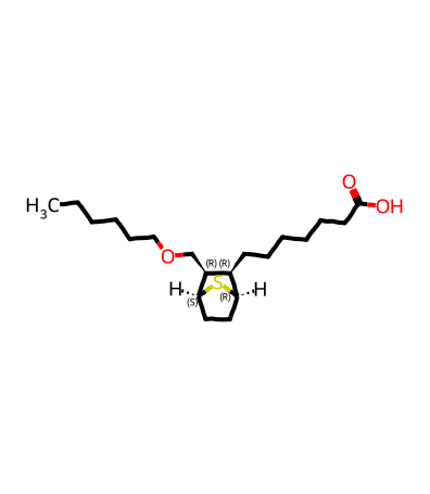 CCCCCCOC[C@H]1[C@@H](CCCCCCC(=O)O)[C@H]2CC[C@@H]1S2